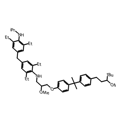 CCc1cc(Cc2cc(CC)c(NC(C)C)c(CC)c2)cc(CC)c1NCC(COc1ccc(C(C)(C)c2ccc(CCC(OC)C(C)(C)C)cc2)cc1)OC